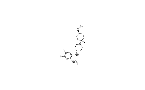 CCO[C@H]1CC[C@](C)(N2CCC(Nc3cc(C)c(F)cc3[N+](=O)[O-])CC2)CC1